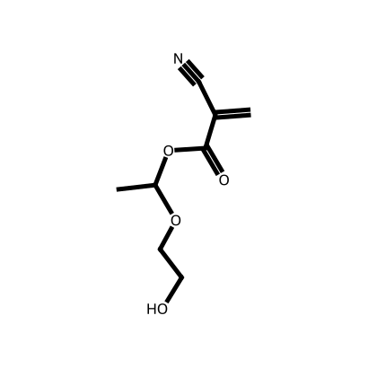 C=C(C#N)C(=O)OC(C)OCCO